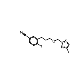 Cc1csc(COCCCc2cc(C#N)ccc2I)n1